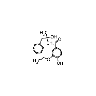 CC(C)(O)Cc1ccccc1.CCOc1cc(C=O)ccc1O